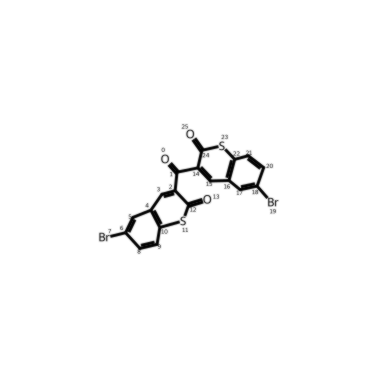 O=C(c1cc2cc(Br)ccc2sc1=O)c1cc2cc(Br)ccc2sc1=O